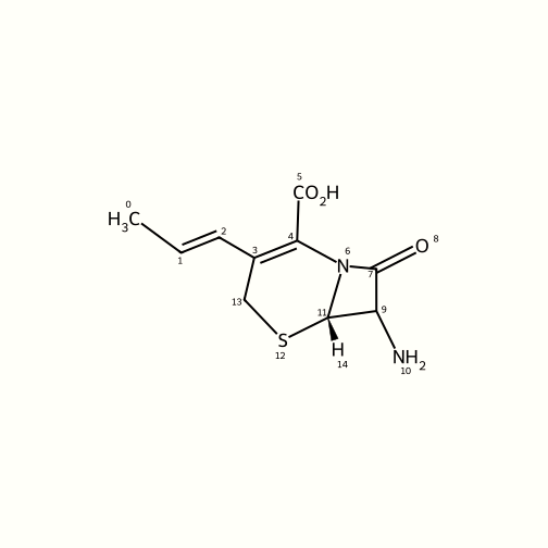 C/C=C/C1=C(C(=O)O)N2C(=O)C(N)[C@@H]2SC1